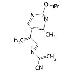 C=C(C#N)/N=C/C(=C)c1cnc(OC(C)C)nc1C